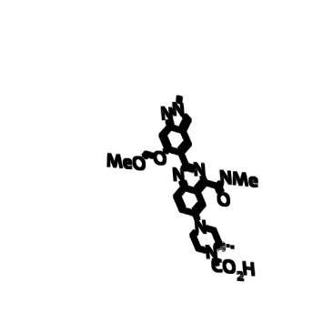 CNC(=O)c1nc(-c2cc3cn(C)nc3cc2OCOC)nc2ccc(N3CCN(C(=O)O)[C@@H](C)C3)cc12